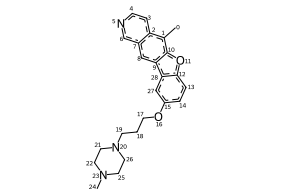 Cc1c2ccncc2cc2c1oc1ccc(OCCCN3CCN(C)CC3)cc12